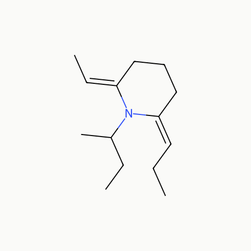 C/C=C1\CCC/C(=C/CC)N1C(C)CC